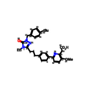 CCn1c(CCCc2ccc(-c3ccc(OC)c(CC(=O)O)n3)cc2)nn(Cc2ccc(C(C)(C)C)cc2)c1=O